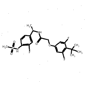 C[C@@H](NC(=O)COc1cc(F)c(C(C)(C)C)c(F)c1)c1ccc(NS(C)(=O)=O)c(F)c1